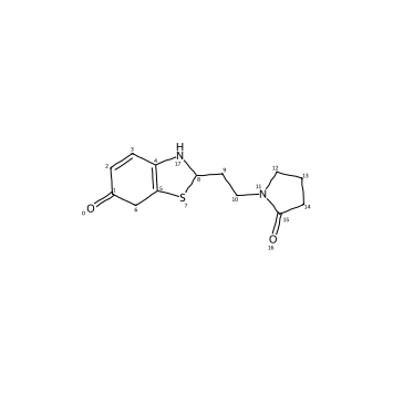 O=C1C=CC2=C(C1)SC(CCN1CCCC1=O)N2